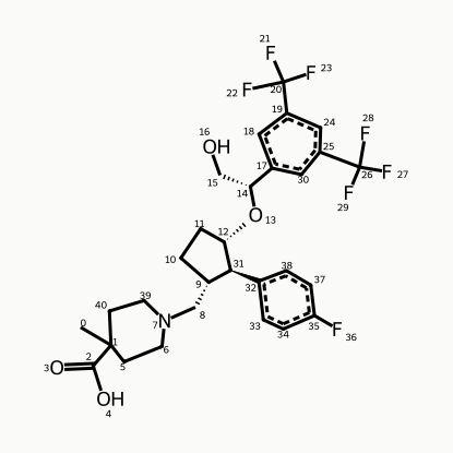 CC1(C(=O)O)CCN(C[C@@H]2CC[C@H](O[C@H](CO)c3cc(C(F)(F)F)cc(C(F)(F)F)c3)[C@H]2c2ccc(F)cc2)CC1